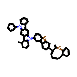 C=C1SC2=CC=CCC2C/C=C\C=C/1c1ccc2c(c1)sc1ccc(-n3c4c(c5cc6c(cc53)c3ccccc3n6-c3ccccc3)C(C)CC=C4)cc12